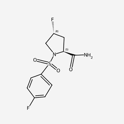 NC(=O)[C@@H]1C[C@@H](F)CN1S(=O)(=O)c1ccc(F)cc1